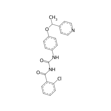 CC(Oc1ccc(NC(=O)NC(=O)c2ccccc2Cl)cc1)c1ccncc1